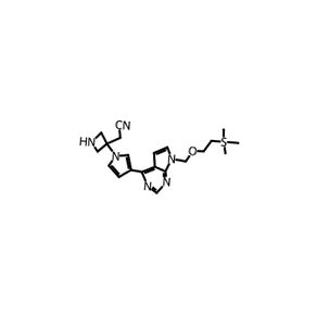 CS(C)(C)CCOCn1ccc2c(-c3ccn(C4(CC#N)CNC4)c3)ncnc21